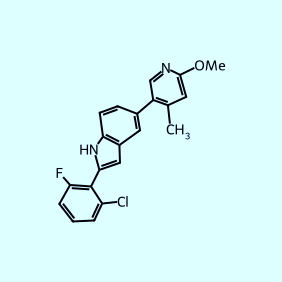 COc1cc(C)c(-c2ccc3[nH]c(-c4c(F)cccc4Cl)cc3c2)cn1